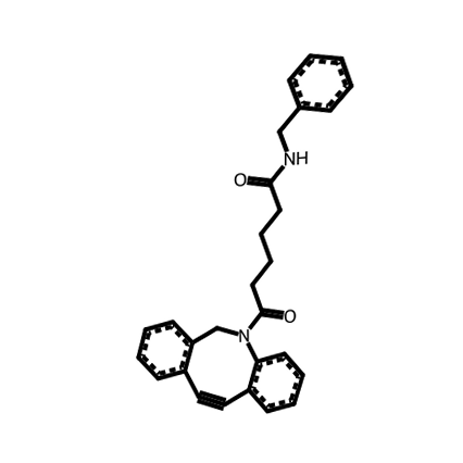 O=C(CCCCC(=O)N1Cc2ccccc2C#Cc2ccccc21)NCc1ccccc1